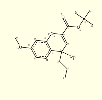 CCCC1(O)C=C(C(=O)OC(C)(C)C)Nc2cc(OC)ccc21